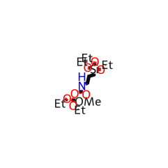 CCOC(OC)(OCC)OC(=O)NCCC[Si](OCC)(OCC)OCC